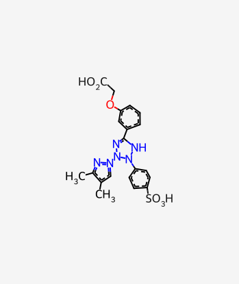 Cc1cn(N2N=C(c3cccc(OCC(=O)O)c3)NN2c2ccc(S(=O)(=O)O)cc2)nc1C